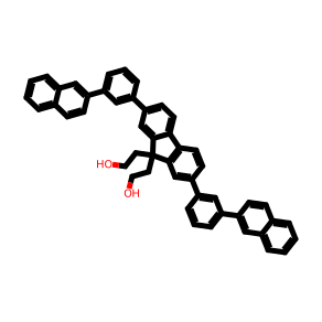 OCCC1(CCO)c2cc(-c3cccc(-c4ccc5ccccc5c4)c3)ccc2-c2ccc(-c3cccc(-c4ccc5ccccc5c4)c3)cc21